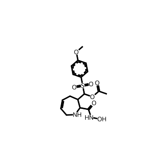 COc1ccc(S(=O)(=O)C(OC(C)=O)C2CC=CCNC2C(=O)NO)cc1